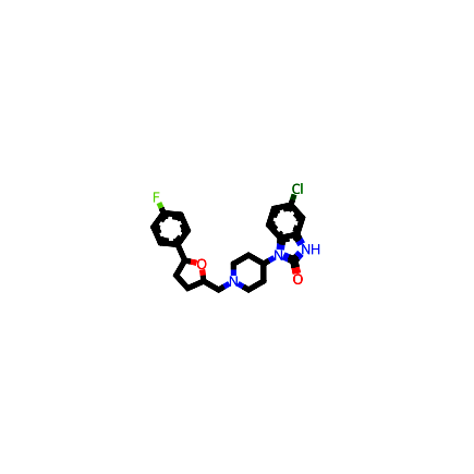 O=c1[nH]c2cc(Cl)ccc2n1C1CCN(CC2CCC(c3ccc(F)cc3)O2)CC1